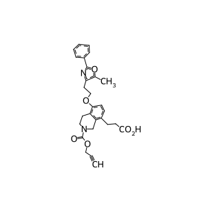 C#CCOC(=O)N1CCc2c(OCCc3nc(-c4ccccc4)oc3C)ccc(CCC(=O)O)c2C1